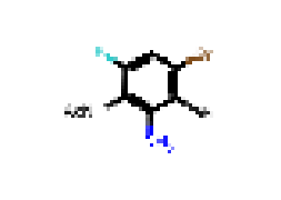 CC(=O)Nc1c(F)cc(Br)c(C(C)C)c1N